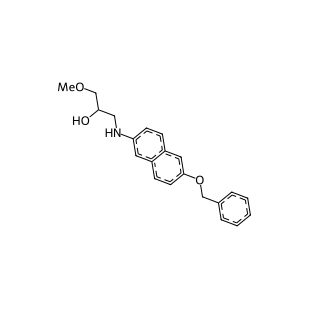 COCC(O)CNc1ccc2cc(OCc3ccccc3)ccc2c1